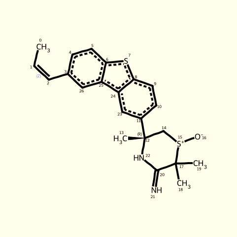 C/C=C\c1ccc2sc3ccc([C@]4(C)C[S+]([O-])C(C)(C)C(=N)N4)cc3c2c1